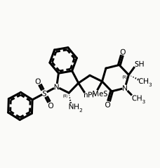 CCCC1(CC2(SC)CC(=O)[C@@](C)(S)N(C)C2=O)c2ccccc2N(S(=O)(=O)c2ccccc2)[C@H]1N